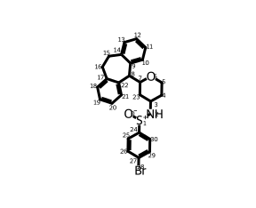 [O-][S+](NC1CCOC(C2c3ccccc3CCc3ccccc32)C1)c1ccc(Br)cc1